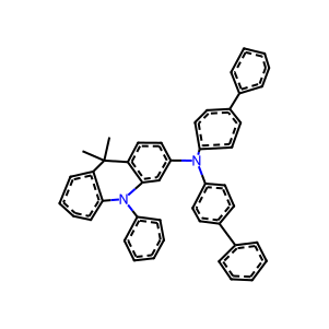 CC1(C)c2ccccc2N(c2ccccc2)c2cc(N(c3ccc(-c4ccccc4)cc3)c3ccc(-c4ccccc4)cc3)ccc21